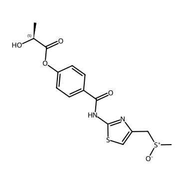 C[C@H](O)C(=O)Oc1ccc(C(=O)Nc2nc(C[S+](C)[O-])cs2)cc1